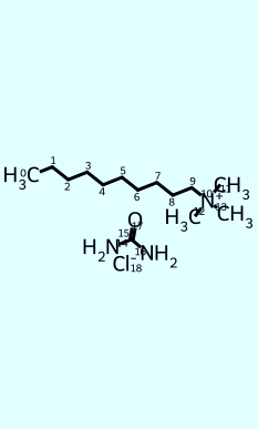 CCCCCCCCCC[N+](C)(C)C.NC(N)=O.[Cl-]